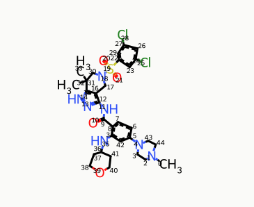 CN1CCN(c2ccc(C(=O)Nc3n[nH]c4c3CN(S(=O)(=O)c3cc(Cl)cc(Cl)c3)CC4(C)C)c(NC3CCOCC3)c2)CC1